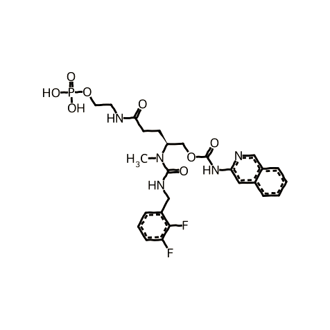 CN(C(=O)NCc1cccc(F)c1F)[C@@H](CCC(=O)NCCOP(=O)(O)O)COC(=O)Nc1cc2ccccc2cn1